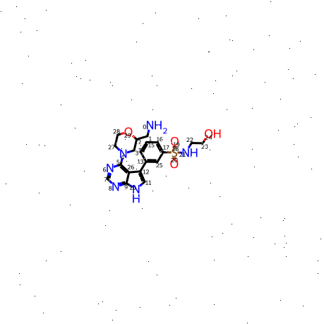 NCC1CN(c2ncnc3[nH]cc(-c4cccc(S(=O)(=O)NCCO)c4)c23)CCO1